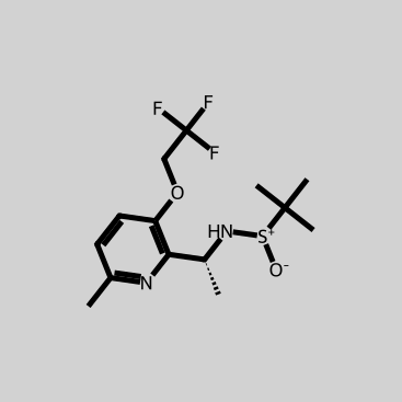 Cc1ccc(OCC(F)(F)F)c([C@@H](C)N[S+]([O-])C(C)(C)C)n1